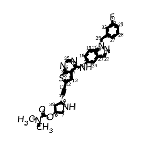 CN(C)C(=O)O[C@@H]1CN[C@@H](C#Cc2cc3c(Nc4ccc5c(cnn5Cc5cccc(F)c5)c4)ncnc3s2)C1